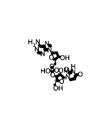 CO[C@H]1C(OP(=O)(O)OC[C@H]2O[C@@H](n3cnc4c(N)ncnc43)CC2O)[C@@H](CO)O[C@H]1n1ccc(=O)[nH]c1=O